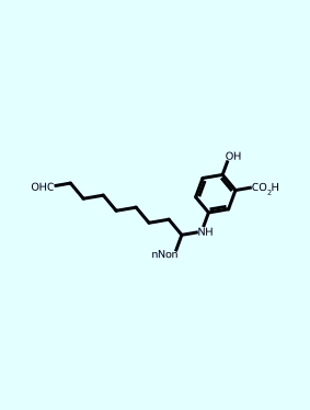 CCCCCCCCCC(CCCCCCCC=O)Nc1ccc(O)c(C(=O)O)c1